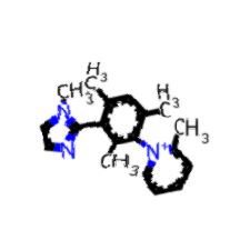 Cc1cc(C)c(-[n+]2ccccc2C)c(C)c1-c1nccn1C